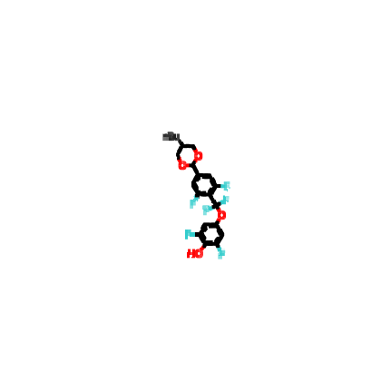 CCCCC1COC(c2cc(F)c(C(F)(F)Oc3cc(F)c(O)c(F)c3)c(F)c2)OC1